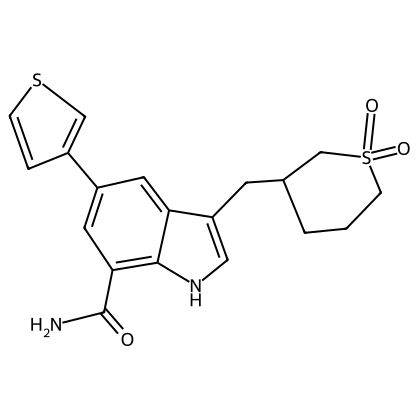 NC(=O)c1cc(-c2ccsc2)cc2c(CC3CCCS(=O)(=O)C3)c[nH]c12